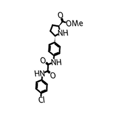 COC(=O)[C@@H]1CC[C@@H](c2ccc(NC(=O)C(=O)Nc3ccc(Cl)cc3)cc2)N1